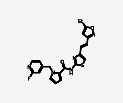 CCc1cc(/C=C/c2csc(NC(=O)c3cccn3Cc3ccnc(F)c3)n2)no1